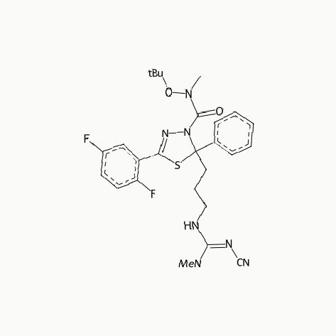 CNC(=NC#N)NCCCC1(c2ccccc2)SC(c2cc(F)ccc2F)=NN1C(=O)N(C)OC(C)(C)C